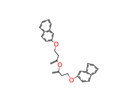 C=C(CCOc1ccc2ccccc2c1)OC(=C)CCOc1ccc2ccccc2c1